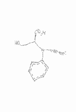 CCCCCN(c1ccccc1)[C@@H](CO)C(=O)O